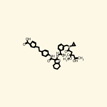 C=C(O)CC(C)(CC(=O)N(Cc1cccc(C(=O)Nc2sc3c(c2C(=O)Nc2ccc(CCc4ccc(C(=O)O)cc4)cc2)CCCC3)c1)C1CC1)OC